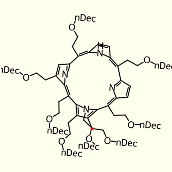 CCCCCCCCCCOCCC1=Cc2nc1c(CCOCCCCCCCCCC)c1c(CCOCCCCCCCCCC)c(CCOCCCCCCCCCC)c(c(CCOCCCCCCCCCC)c3nc(c(CCOCCCCCCCCCC)c4ccc([nH]4)c2CCOCCCCCCCCCC)C=C3)n1CCOCCCCCCCCCC